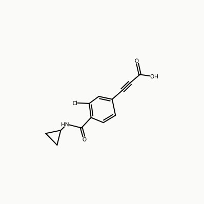 O=C(O)C#Cc1ccc(C(=O)NC2CC2)c(Cl)c1